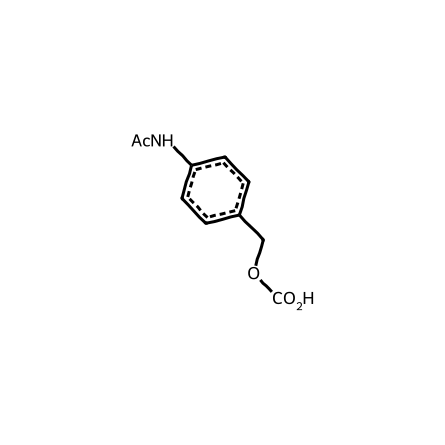 CC(=O)Nc1ccc(COC(=O)O)cc1